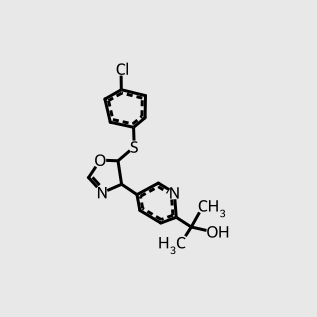 CC(C)(O)c1ccc(C2N=COC2Sc2ccc(Cl)cc2)cn1